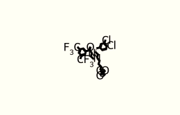 CS(=O)(=O)OCCCN1CCN(C(=O)c2cc(C(F)(F)F)cc(C(F)(F)F)c2)[C@H](Cc2ccc(Cl)c(Cl)c2)C1